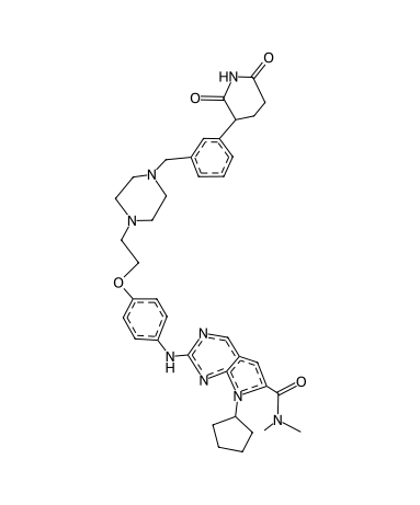 CN(C)C(=O)c1cc2cnc(Nc3ccc(OCCN4CCN(Cc5cccc(C6CCC(=O)NC6=O)c5)CC4)cc3)nc2n1C1CCCC1